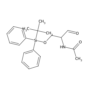 CC(=O)NC(C=O)CO[Si](c1ccccc1)(c1ccccc1)C(C)(C)C